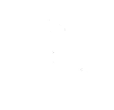 Nc1cccc(C=C2C(=O)SC(=O)N2c2ccc(O)c(C34CC5CC(CC(C5)C3)C4)c2)c1